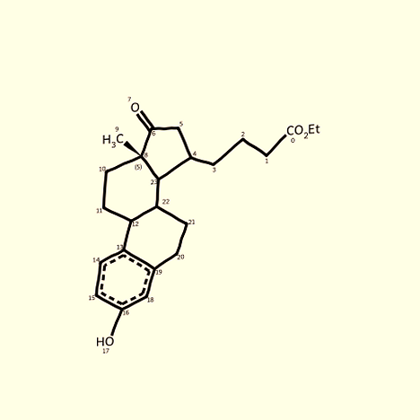 CCOC(=O)CCCC1CC(=O)[C@@]2(C)CCC3c4ccc(O)cc4CCC3C12